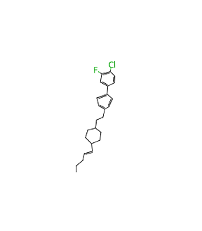 CCC/C=C/C1CCC(CCc2ccc(-c3ccc(Cl)c(F)c3)cc2)CC1